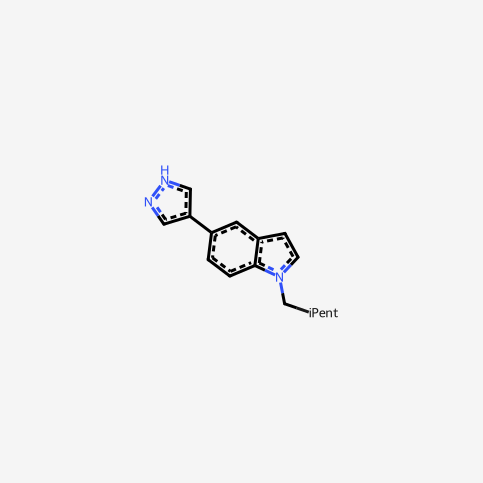 CCCC(C)Cn1ccc2cc(-c3cn[nH]c3)ccc21